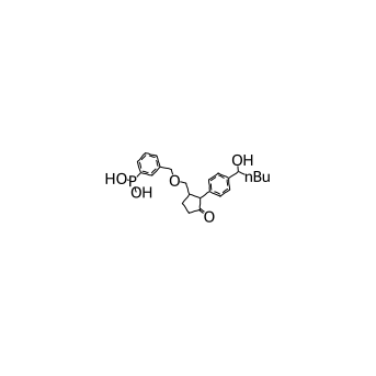 CCCCC(O)c1ccc(C2C(=O)CCC2COCc2cccc(P(O)O)c2)cc1